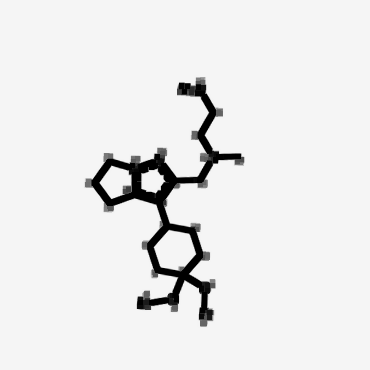 CCOC1(OCC)CCC(c2c(CN(C)CCNC)nn3c2CCC3)CC1